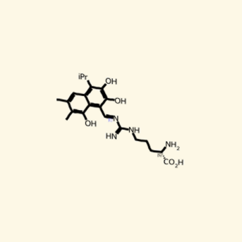 Cc1cc2c(C(C)C)c(O)c(O)c(/C=N/C(=N)NCCC[C@H](N)C(=O)O)c2c(O)c1C